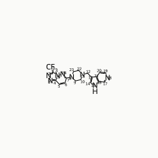 FC(F)(F)c1nnc2ccc(N3CCN(Cc4c[nH]c5cnccc45)CC3)nn12